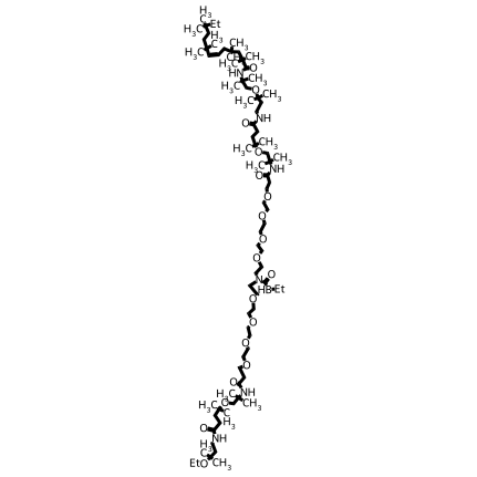 CCBC(=O)N(CCOCCOCCOCCOCCC(=O)NC(C)(C)COC(C)(C)CCC(=O)NCCC(C)(C)OCC)CCOCCOCCOCCOCCC(=O)NC(C)(C)COC(C)(C)CCC(=O)NCCC(C)(C)OCC(C)(C)NC(=O)C(C)(C)CC(C)(C)C/C=C\C(C)(C)CCC(C)(C)CC